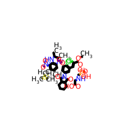 CCC(CC)Nc1c([N+](=O)[O-])cc(C)c(C)c1[N+](=O)[O-].CCOC(=O)/C(Cl)=C/c1cc(N2C(=O)C3=C(CCCC3)C2=O)ccc1Cl.C[S+](C)C.O=C(O)CNCP(=O)([O-])O